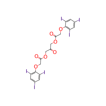 O=C(COC(=O)COc1c(I)cc(I)cc1I)COC(=O)COc1c(I)cc(I)cc1I